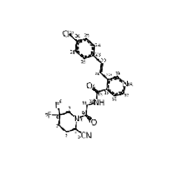 N#CC1CCC(F)(F)CN1C(=O)CNC(=O)c1ccncc1C=Cc1ccc(Cl)cc1